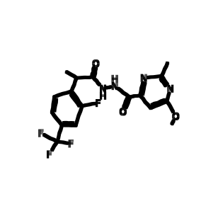 COc1cc(C(=O)NNC(=O)C(C)c2ccc(C(F)(F)F)cc2F)nc(C)n1